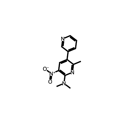 Cc1nc(N(C)C)c([N+](=O)[O-])cc1-c1cccnc1